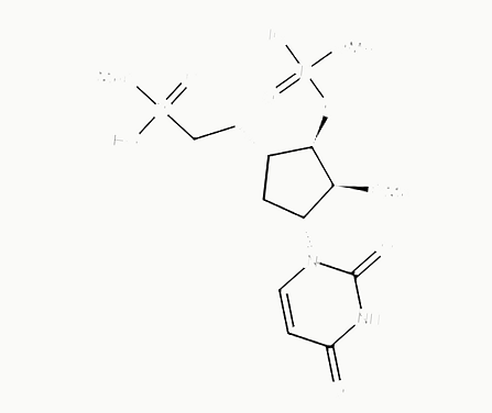 CO[C@@H]1[C@H](OP(=O)(O)OC)[C@@H](CCP(=O)(O)OC)C[C@H]1n1ccc(=O)[nH]c1=O